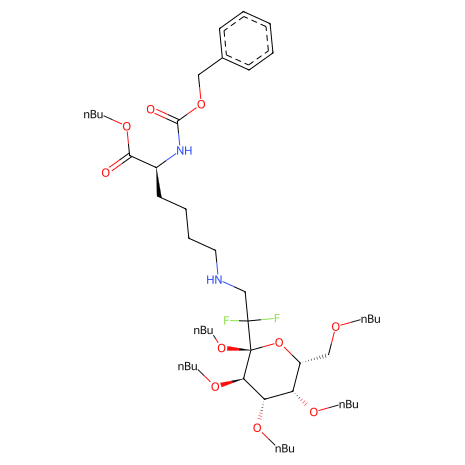 CCCCOC[C@H]1O[C@@](OCCCC)(C(F)(F)CNCCCC[C@H](NC(=O)OCc2ccccc2)C(=O)OCCCC)[C@H](OCCCC)[C@@H](OCCCC)[C@H]1OCCCC